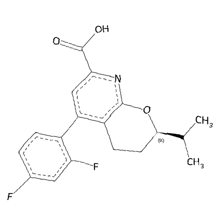 CC(C)[C@H]1CCc2c(-c3ccc(F)cc3F)cc(C(=O)O)nc2O1